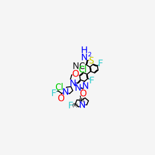 N#Cc1c(N)sc2c(F)ccc(-c3c(Cl)c4c5c(nc(OC[C@@]67CCCN6C[C@H](F)C7)nc5c3F)N(C3CCN(C(=O)C(F)Cl)C3)CCO4)c12